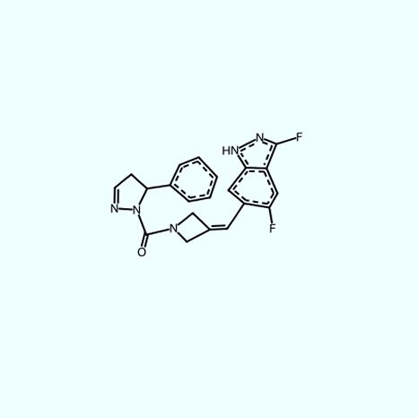 O=C(N1CC(=Cc2cc3[nH]nc(F)c3cc2F)C1)N1N=CCC1c1ccccc1